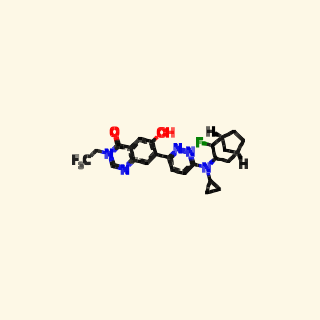 O=c1c2cc(O)c(-c3ccc(N(C4CC4)[C@@H]4C[C@H]5CC[C@H](C5)[C@@H]4F)nn3)cc2ncn1CC(F)(F)F